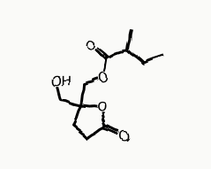 CCC(C)C(=O)OCC1(CO)CCC(=O)O1